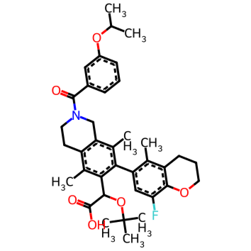 Cc1c(-c2c(C)c3c(c(C)c2C(OC(C)(C)C)C(=O)O)CCN(C(=O)c2cccc(OC(C)C)c2)C3)cc(F)c2c1CCCO2